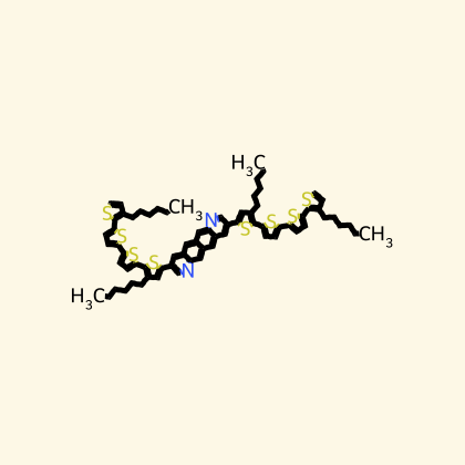 CCCCCCc1ccsc1-c1ccc(-c2ccc(-c3sc(-c4cnc5cc6cc7cc(-c8cc(CCCCCC)c(-c9ccc(-c%10ccc(-c%11sccc%11CCCCCC)s%10)s9)s8)cnc7cc6cc5c4)cc3CCCCCC)s2)s1